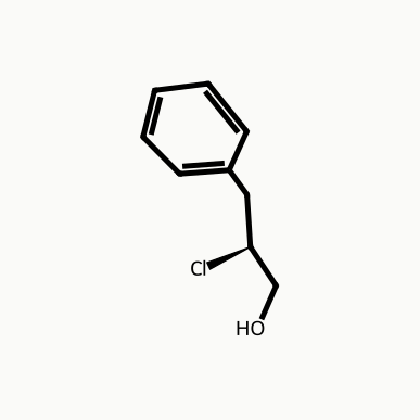 OC[C@@H](Cl)Cc1ccccc1